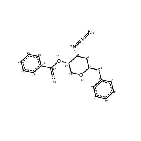 [N-]=[N+]=N[C@@H]1C[C@@H](Sc2ccccc2)OC[C@@H]1OC(=O)c1ccccc1